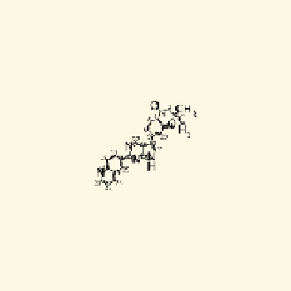 CC1(C)CC(=O)c2ccc(-c3c[nH]c4nc(-c5ccc6ncccc6c5)ncc34)cc2O1